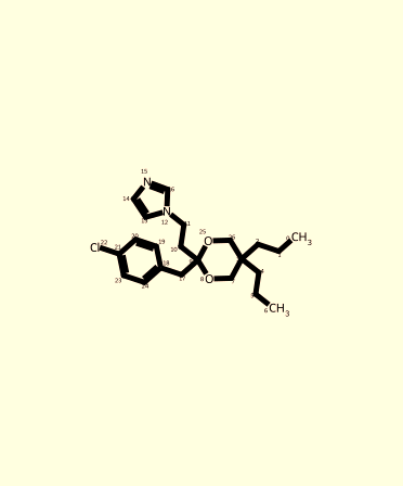 CCCC1(CCC)COC(CCn2ccnc2)(Cc2ccc(Cl)cc2)OC1